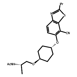 CC(=O)N[C@@H](C)CO[C@H]1CC[C@H](Oc2ccc3nc(C(C)C)sc3c2C#N)CC1